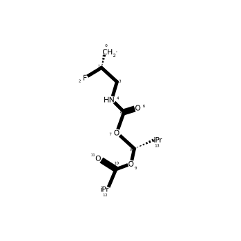 [CH2][C@@H](F)CNC(=O)O[C@@H](OC(=O)C(C)C)C(C)C